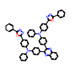 C1=CC(c2nnc(-c3ccc(N(c4ccccc4)c4ccc(-c5nc6ccccc6nc5-c5ccc(N(c6ccccc6)c6ccc(-c7nnc(-c8ccccc8)o7)cc6)cc5)cc4)cc3)o2)=CCC1